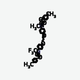 C/C(=N\OS(=O)(=O)c1ccc(C)cc1)c1ccc(OCCCOc2ccc(/C(=N/OS(=O)c3ccc(C)cc3)C(F)(F)F)cc2)cc1